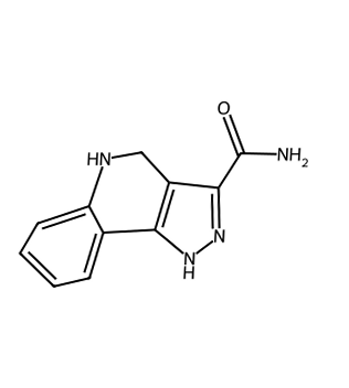 NC(=O)c1n[nH]c2c1CNc1ccccc1-2